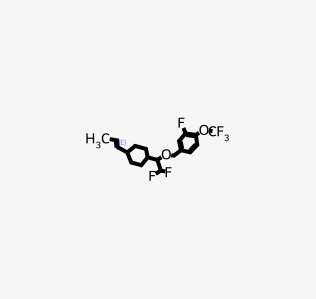 C/C=C/C1CCC(C(OCc2ccc(OC(F)(F)F)c(F)c2)C(F)F)CC1